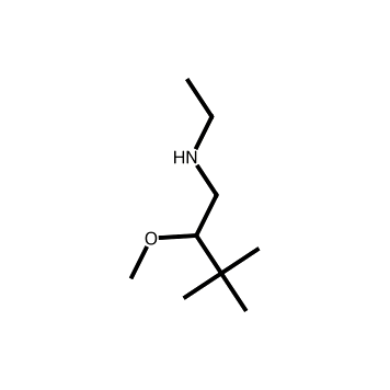 CCNCC(OC)C(C)(C)C